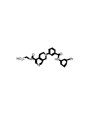 CC(C)c1cccc(NC(=O)c2cccc(N3CCc4c(cncc4C(=O)NCC(=O)O)C3)c2)c1